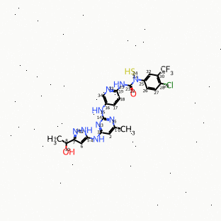 Cc1cc(Nc2cc(C(C)O)n[nH]2)nc(Nc2ccc(NC(=O)N(S)c3ccc(Cl)c(C(F)(F)F)c3)nc2)n1